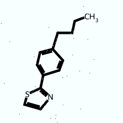 CCCCc1ccc(-c2nccs2)cc1